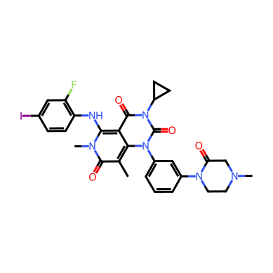 Cc1c(=O)n(C)c(Nc2ccc(I)cc2F)c2c(=O)n(C3CC3)c(=O)n(-c3cccc(N4CCN(C)CC4=O)c3)c12